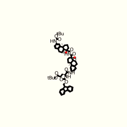 CC(C)(C)OC(=O)CC[C@H](NC(=O)OCC1c2ccccc2-c2ccccc21)C(=O)Nc1ccc2c(c1)[C@@]1(C)CCC[C@](C)(C(=O)NC(=O)[C@@]3(C)CCC[C@]4(C)c5cc(NC(=O)OC(C)(C)C)ccc5CC[C@@H]34)[C@@H]1CC2